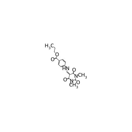 CCCOC(=O)c1ccc(NC=C2C(=O)N(C)C(=O)N(C)C2=O)cc1